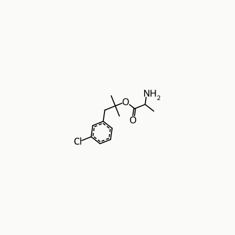 CC(N)C(=O)OC(C)(C)Cc1cccc(Cl)c1